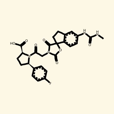 CNC(=O)Nc1ccc2c(c1)CCC21OC(=O)N(CC(=O)N2[C@@H](c3ccc(F)cc3)CC[C@H]2C(=O)O)C1=O